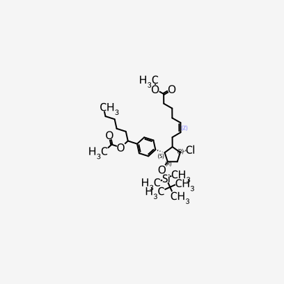 CCCCCC(OC(C)=O)c1ccc([C@@H]2C(C/C=C\CCCC(=O)OC)[C@H](Cl)C[C@H]2O[Si](C)(C)C(C)(C)C)cc1